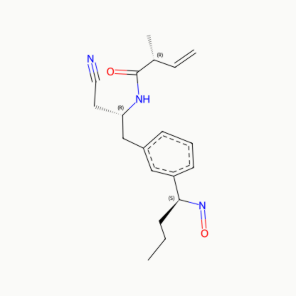 C=C[C@@H](C)C(=O)N[C@@H](CC#N)Cc1cccc([C@H](CCC)N=O)c1